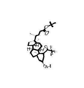 C[C@H](CCC(=O)OC(C)(C)C)[C@H]1CC[C@H]2[C@@H]3CCC4C[C@H](O)CC(C(=O)C(F)(F)F)[C@]4(C)[C@H]3CC[C@]12C